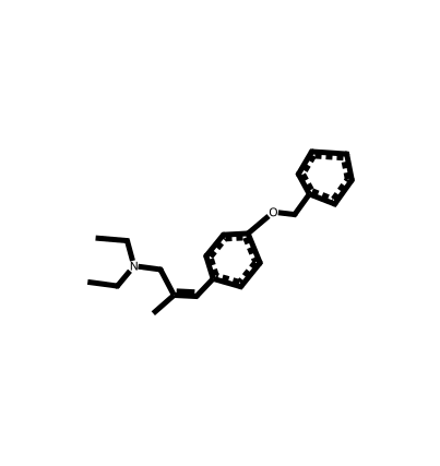 CCN(CC)CC(C)=Cc1ccc(OCc2ccccc2)cc1